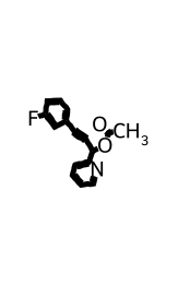 CC(=O)OC(C#Cc1cccc(F)c1)c1ccccn1